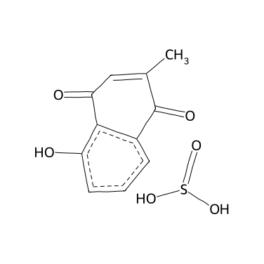 CC1=CC(=O)c2c(O)cccc2C1=O.O=S(O)O